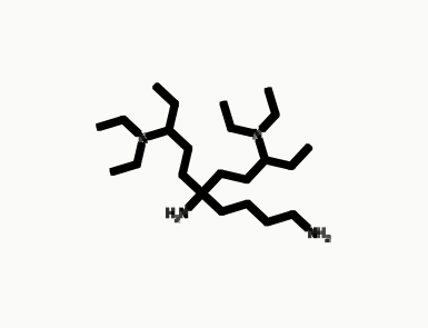 CCC(CCC(N)(CCCCN)CCC(CC)N(CC)CC)N(CC)CC